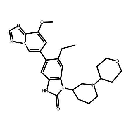 CCc1cc2c(cc1-c1cc(OC)c3ncnn3c1)[nH]c(=O)n2[C@@H]1CCCN(C2CCOCC2)C1